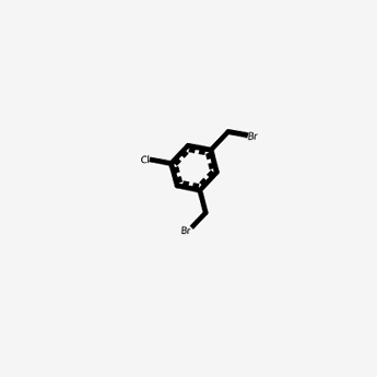 Clc1cc(CBr)cc(CBr)c1